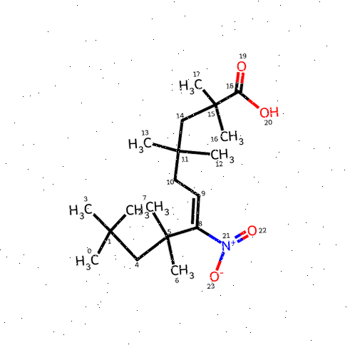 CC(C)(C)CC(C)(C)/C(=C\CC(C)(C)CC(C)(C)C(=O)O)[N+](=O)[O-]